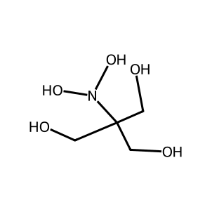 OCC(CO)(CO)N(O)O